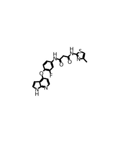 Cc1csc(NC(=O)CC(=O)Nc2ccc(Oc3ccnc4[nH]ccc34)c(F)c2)n1